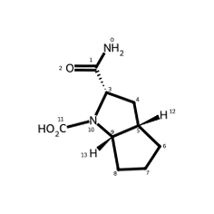 NC(=O)[C@@H]1C[C@@H]2CCC[C@@H]2N1C(=O)O